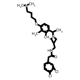 Cc1c(OCCCCN(C)C)ccc(C(C)N2CC(CNC(=O)Cc3ccc(Cl)c(Cl)c3)C2)c1C